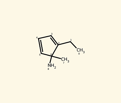 CCC1=CC=CC1(C)N